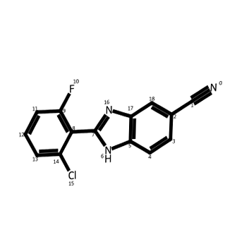 N#Cc1ccc2[nH]c(-c3c(F)cccc3Cl)nc2c1